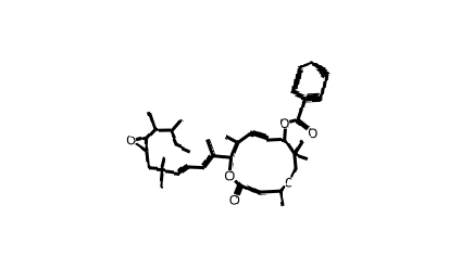 CCC(C)C(C)C1OC1CC(C)(C)/C=C/C=C(\C)C1OC(=O)CC(C)CCC(C)(C)C(OC(=O)c2ccccc2)/C=C/C1C